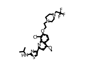 COc1cc(-c2csc(NC(C)C)n2)nc2c(Cl)c(OCCN3CCN(CC(F)(F)F)CC3)ccc12